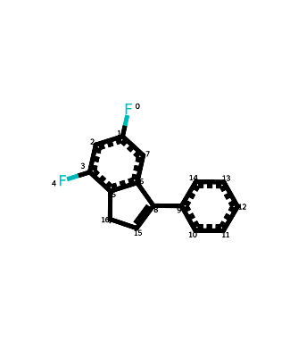 Fc1cc(F)c2c(c1)C(c1ccccc1)=C[CH]2